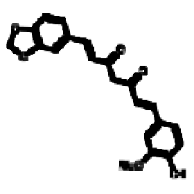 COc1cc(C=CC(=O)CC(=O)C=Cc2ccc3c(c2)OCO3)ccc1O